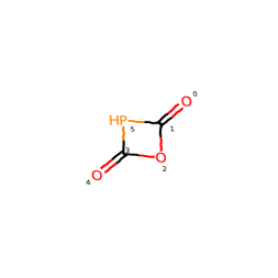 O=C1OC(=O)P1